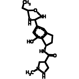 CCC1NC(c2cc(O)c3c(c2)CC[C@H]3NC(=O)C2CNN(C)C2)NO1